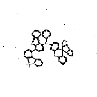 CC1(C)c2ccccc2-c2c(-c3ccc(N(c4ccccc4)c4ccc5c(c4)Sc4ccccc4C54c5ccccc5-c5ccccc54)c4c3sc3ccccc34)cccc21